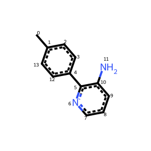 Cc1ccc(-c2ncccc2N)cc1